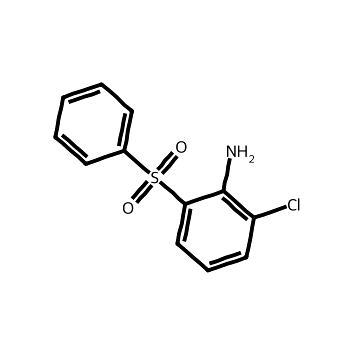 Nc1c(Cl)cccc1S(=O)(=O)c1ccccc1